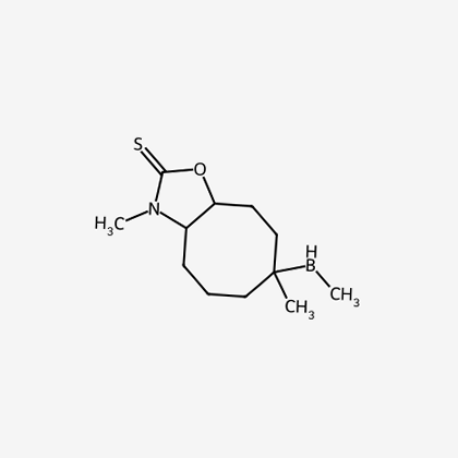 CBC1(C)CCCC2C(CC1)OC(=S)N2C